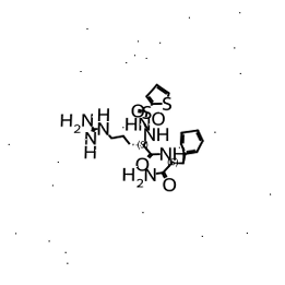 N=C(N)NCCC[C@H](NNS(=O)(=O)c1cccs1)C(=O)N[C@@H](Cc1ccccc1)C(N)=O